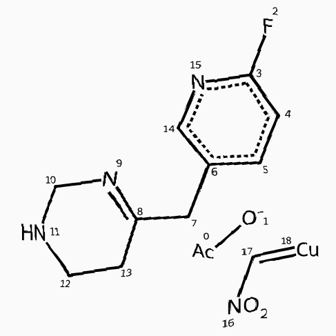 CC(=O)[O-].Fc1ccc(CC2=NCNCC2)cn1.O=[N+]([O-])[CH]=[Cu]